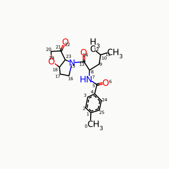 Cc1ccc(C(=O)NC(CC(C)C)C(=O)N2CCC3OCC(=O)C32)cc1